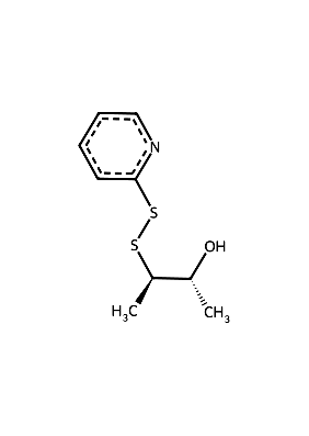 C[C@@H](O)[C@@H](C)SSc1ccccn1